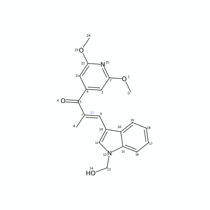 COc1cc(C(=O)/C(C)=C/c2cn(CO)c3ccccc23)cc(OC)n1